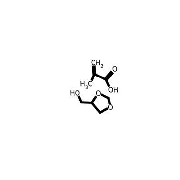 C=C(C)C(=O)O.OCC1COCO1